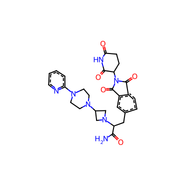 NC(=O)C(Cc1ccc2c(c1)C(=O)N(C1CCC(=O)NC1=O)C2=O)N1CC(N2CCN(c3ccccn3)CC2)C1